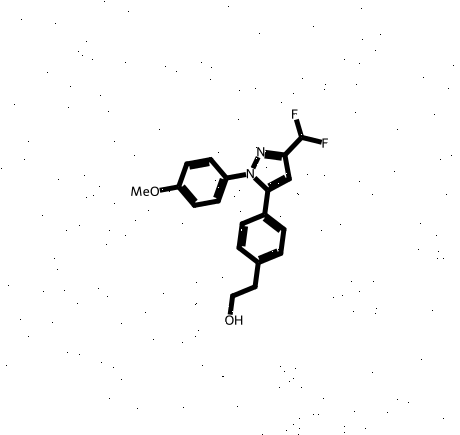 COc1ccc(-n2nc(C(F)F)cc2-c2ccc(CCO)cc2)cc1